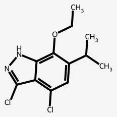 CCOc1c(C(C)C)cc(Cl)c2c(Cl)n[nH]c12